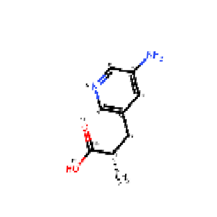 C[C@@H](Cc1cncc(N)c1)C(=O)O